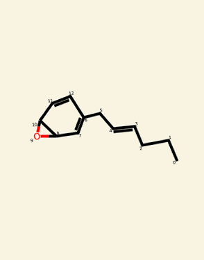 CCCC=CCC1=CC2OC2C=C1